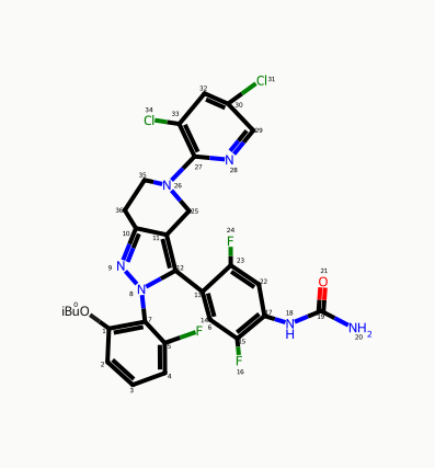 CC(C)COc1cccc(F)c1-n1nc2c(c1-c1cc(F)c(NC(N)=O)cc1F)CN(c1ncc(Cl)cc1Cl)CC2